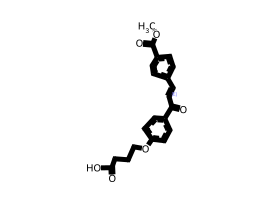 COC(=O)c1ccc(/C=C/C(=O)c2ccc(OCCCC(=O)O)cc2)cc1